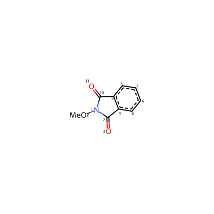 [CH2]ON1C(=O)c2ccccc2C1=O